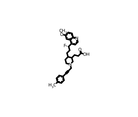 COc1ccc2nccc([C@@H](F)CCC3CCN(CC#Cc4ccc(C)cc4)CC3CCC(=O)O)c2c1